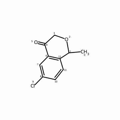 CC1OCC(=O)c2cc(Cl)ccc21